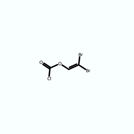 O=C(Cl)OC=C(Br)Br